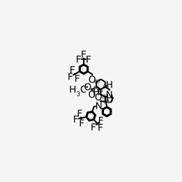 COC(=O)[C@@H]1[C@H]2C[C@@H]3N(CC[C@@]34C(=O)N(Cc3cc(C(F)(F)F)cc(C(F)(F)F)c3)c3ccccc34)C[C@@H]2CC[C@@H]1OCc1cc(C(F)(F)F)cc(C(F)(F)F)c1